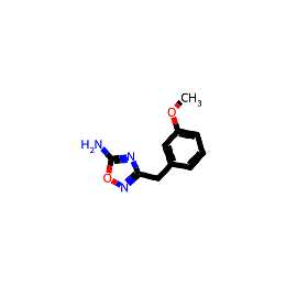 COc1cccc(Cc2noc(N)n2)c1